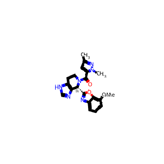 COc1cccc2nc([C@@H]3c4nc[nH]c4CCN3C(=O)c3cc(C)nn3C)oc12